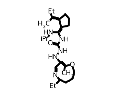 CC/C(C)=C1\CCC\C1=C(/NC(=O)NNC1=C(/C)OCCCC(CC)/N=C\1)NC(C)C